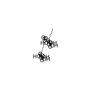 CCCCCCCCOP(=O)(O)OP(=O)(O)O.CCCCCCCCOP(=O)(O)OP(=O)(O)O.[O]=[Ti]1[O]CC[O]1